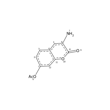 CC(=O)Oc1ccc2cc(N)c(=O)oc2c1